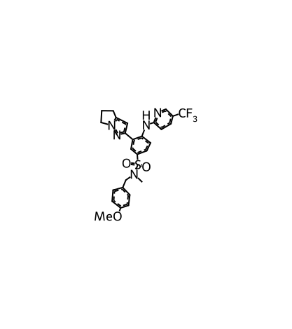 COc1ccc(CN(C)S(=O)(=O)c2ccc(Nc3ccc(C(F)(F)F)cn3)c(-c3cc4n(n3)CCC4)c2)cc1